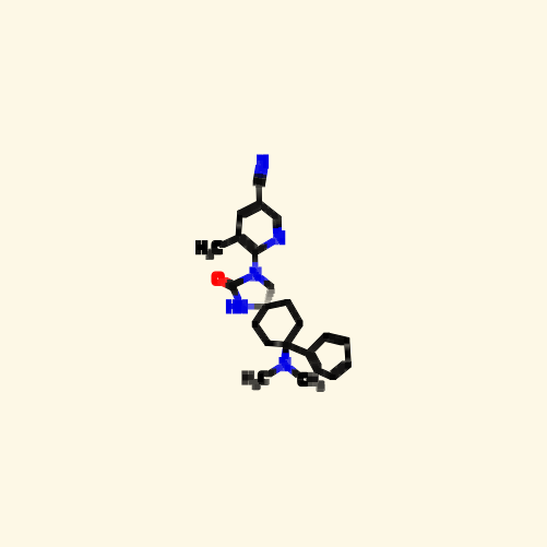 Cc1cc(C#N)cnc1N1C[C@]2(CC[C@](c3ccccc3)(N(C)C)CC2)NC1=O